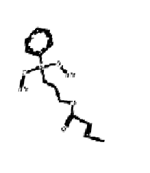 CC=CC(=O)OCCC[Si](OCCC)(OCCC)c1ccccc1